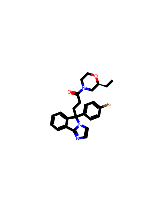 CC[C@H]1CN(C(=O)CCC2(c3ccc(Br)cc3)c3ccccc3-c3nccn32)CCO1